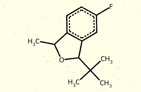 CC1OC(C(C)(C)C)c2cc(F)ccc21